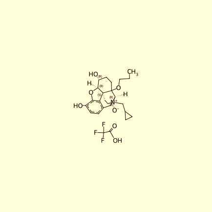 CCCOC12CC[C@@H](O)[C@@H]3Oc4c(O)ccc5c4[C@@]31CC[N@+]([O-])(CC1CC1)[C@@H]2C5.O=C(O)C(F)(F)F